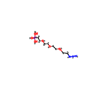 [N-]=[N+]=NCCOCCOCCOCCP(=O)(O)O